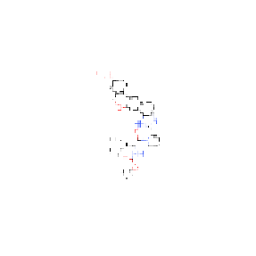 Bc1ccc2c(c1)COc1cc3c(ccc4nc([C@@H]5CCCN5C(=O)[C@@H](NC(=O)OC)C(C)C)[nH]c43)cc1-2